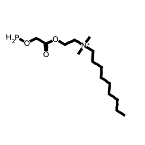 CCCCCCCCC[N+](C)(C)CCOC(=O)COP